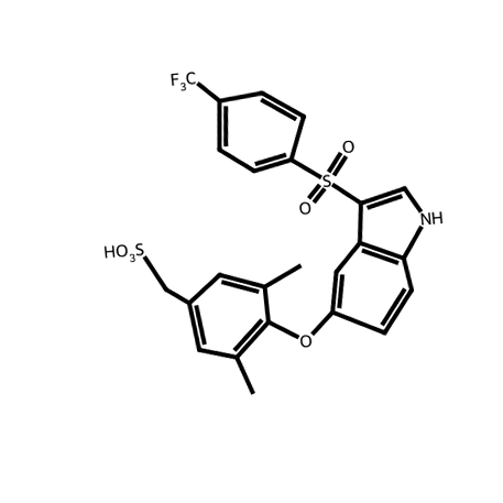 Cc1cc(CS(=O)(=O)O)cc(C)c1Oc1ccc2[nH]cc(S(=O)(=O)c3ccc(C(F)(F)F)cc3)c2c1